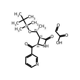 C[C@@H](O[Si](C)(C)C(C)(C)C)[C@H]1C(=O)N[C@H]1C(=O)c1cccnc1.O=CC(=O)O